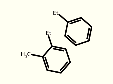 CCc1ccccc1.CCc1ccccc1C